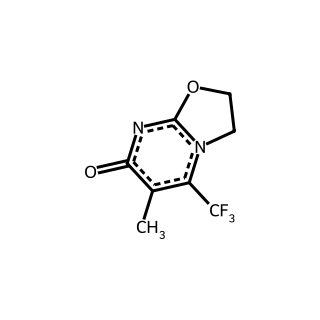 Cc1c(C(F)(F)F)n2c(nc1=O)OCC2